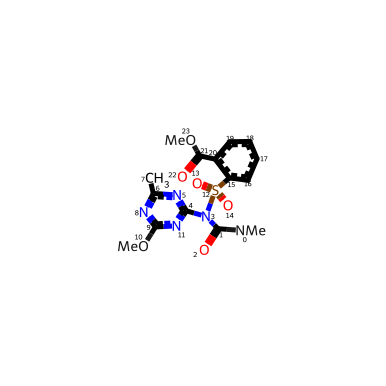 CNC(=O)N(c1nc(C)nc(OC)n1)S(=O)(=O)c1ccccc1C(=O)OC